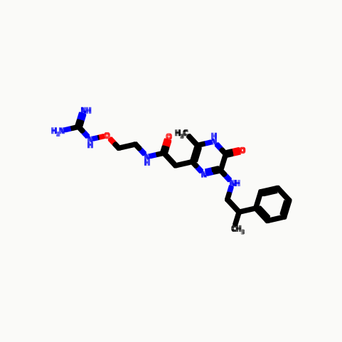 Cc1[nH]c(=O)c(NCC(C)c2ccccc2)nc1CC(=O)NCCONC(=N)N